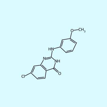 COc1cccc(Nc2nc3cc(Cl)ccc3c(=O)[nH]2)c1